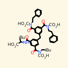 CCC(C)CN(C(=O)O)C(=O)c1cc(Cc2cc(C(=O)N(CCc3ccccc3)C(=O)O)cc(C(=O)N(CCc3ccccc3)C(=O)O)c2)cc(C(=O)NC(C(=O)O)C(C)CC)c1